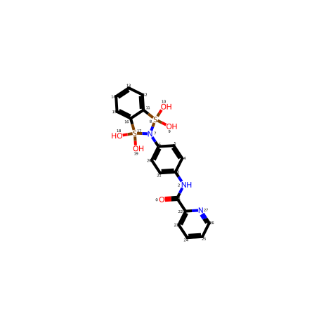 O=C(Nc1ccc(N2S(O)(O)c3ccccc3S2(O)O)cc1)c1ccccn1